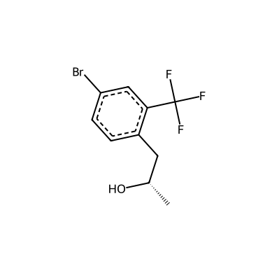 C[C@H](O)Cc1ccc(Br)cc1C(F)(F)F